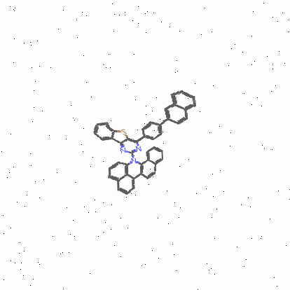 c1ccc2cc(-c3ccc(-c4nc(N5c6c(ccc7ccccc67)-c6cccc7cccc5c67)nc5c4sc4ccccc45)cc3)ccc2c1